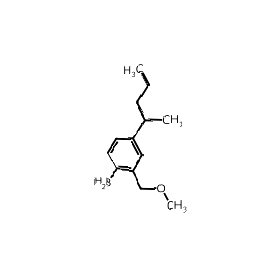 Bc1ccc(C(C)CCC)cc1COC